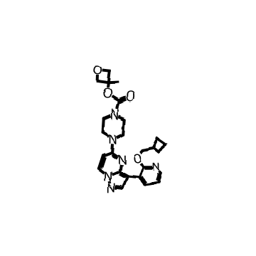 CC1(OC(=O)N2CCN(c3ccn4ncc(-c5cccnc5OCC5CCC5)c4n3)CC2)COC1